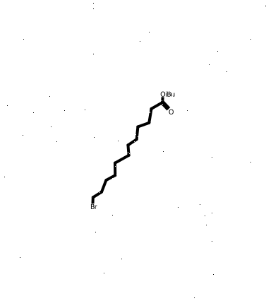 CC(C)COC(=O)CCCCCCCCCCCBr